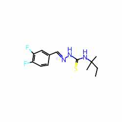 CCC(C)(C)NC(=S)N/N=C/c1ccc(F)c(F)c1